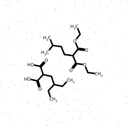 CCC(CC)CC(C(=O)O)C(=O)O.CCOC(=O)C(CCC(C)C)C(=O)OCC